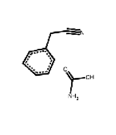 N#CCc1ccccc1.NC(=O)O